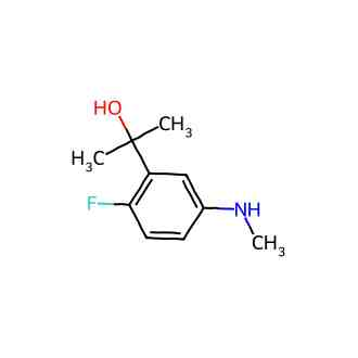 CNc1ccc(F)c(C(C)(C)O)c1